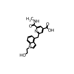 CNC(=O)c1cc(C(=O)O)cc(Cc2cccc3c2ccn3CCO)n1